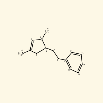 CCN1C=C(N)CN1CCc1ccccc1